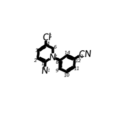 [N]C1=CC=C(Cl)CN1c1cccc(C#N)c1